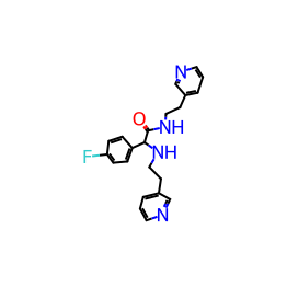 O=C(NCCc1cccnc1)C(NCCc1cccnc1)c1ccc(F)cc1